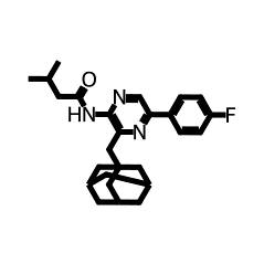 CC(C)CC(=O)Nc1ncc(-c2ccc(F)cc2)nc1CC12CC3CC(CC(C3)C1)C2